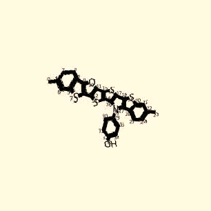 Cc1ccc2c(c1)sc1c2oc2c1sc1c2sc2c3sc4cc(C)ccc4c3n(-c3ccc(O)cc3)c12